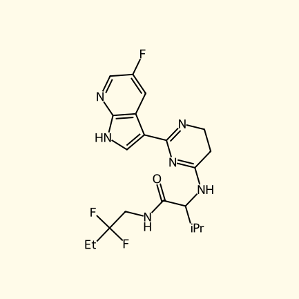 CCC(F)(F)CNC(=O)C(NC1=NC(c2c[nH]c3ncc(F)cc23)=NCC1)C(C)C